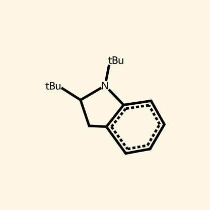 CC(C)(C)C1Cc2ccccc2N1C(C)(C)C